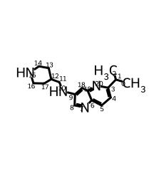 CC(C)c1ccc2ncc(NCC3CCNCC3)cc2n1